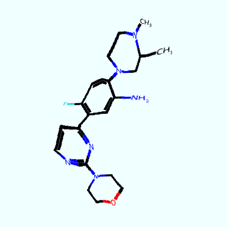 CC1CN(c2cc(F)c(-c3ccnc(N4CCOCC4)n3)cc2N)CCN1C